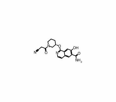 N#CCC(=O)N1CCC[C@@H](Oc2nccc3cc(C(N)=O)c(O)cc23)C1